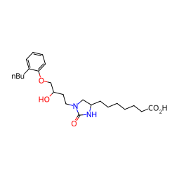 CCCCc1ccccc1OCC(O)CCN1CC(CCCCCCC(=O)O)NC1=O